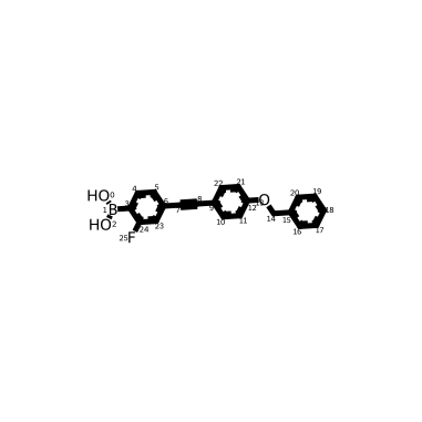 OB(O)c1ccc(C#Cc2ccc(OCc3ccccc3)cc2)cc1F